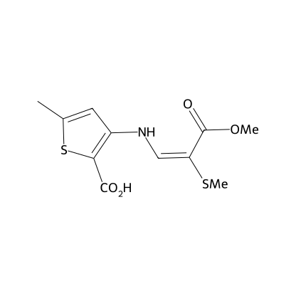 COC(=O)C(=CNc1cc(C)sc1C(=O)O)SC